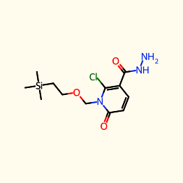 C[Si](C)(C)CCOCn1c(Cl)c(C(=O)NN)ccc1=O